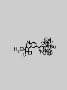 CN1C(=O)C2(CCC2)c2c1cnc1ccc(-c3cnc(N4CC5CC(C4)N5C(=O)OC(C)(C)C)c(NS(C)(=O)=O)c3)cc21